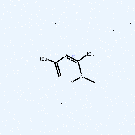 C=C(/C=C(\N(C)C)C(C)(C)C)C(C)(C)C